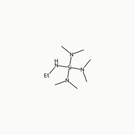 CCN[Si](N(C)C)(N(C)C)N(C)C